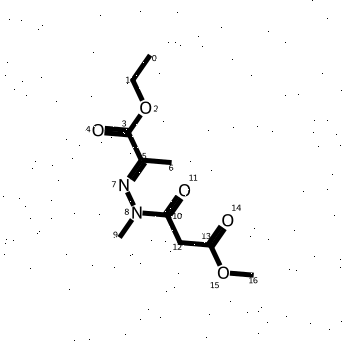 CCOC(=O)/C(C)=N/N(C)C(=O)CC(=O)OC